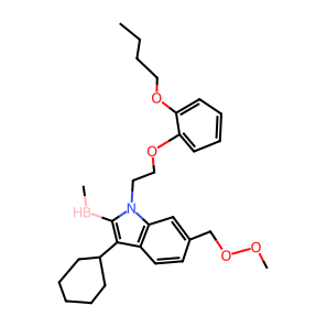 CBc1c(C2CCCCC2)c2ccc(COOC)cc2n1CCOc1ccccc1OCCCC